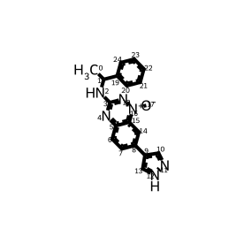 CC(Nc1nc2ccc(-c3cn[nH]c3)cc2[n+]([O-])n1)c1ccccc1